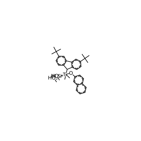 CC(C)(C)c1ccc2c(c1)-c1cc(C(C)(C)C)ccc1[CH]2[Ti]([CH3])([CH3])(=[SiH2])[O]c1ccc2ccccc2c1.CO.CO